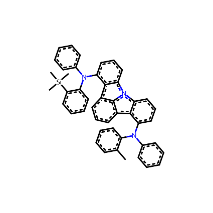 Cc1ccccc1N(c1ccccc1)c1cccc2c1c1cccc3c4c(N(c5ccccc5)c5ccccc5[Si](C)(C)C)cccc4n2c13